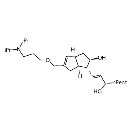 CCCCC[C@H](O)/C=C/[C@@H]1[C@H]2CC(COCCCN(C(C)C)C(C)C)=C[C@H]2C[C@H]1O